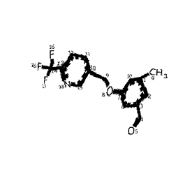 Cc1cc(C=O)cc(OCc2ccc(C(F)(F)F)nc2)c1